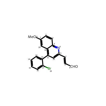 COc1ccc2nc(C=CC=O)cc(-c3ccccc3Br)c2c1